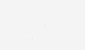 C[C](C)CN1CCCCC1CN